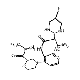 CN(C)C(=O)C1CN(c2ccncc2NC(=O)C(C(N)N=O)C2NCC(F)CN2)CCO1